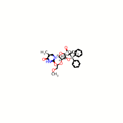 COCCO[C@@H]1[C@H](O[Si](c2ccccc2)(c2ccccc2)C(C)(C)C)[C@@H](C=O)O[C@H]1n1cc(C)c(=O)[nH]c1=O